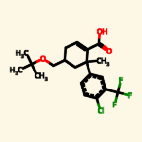 CC(C)(C)OCC1CC=C(C(=O)O)C(C)(c2ccc(Cl)c(C(F)(F)F)c2)C1